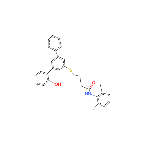 Cc1cccc(C)c1NC(=O)CCCSc1cc(-c2ccccc2)cc(-c2ccccc2O)c1